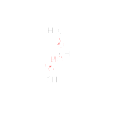 CCCCOC(=O)CCCCCCCCC(=O)OCCCC.CCO